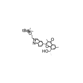 Cc1cc([C@H](C)O)c2oc(-c3ccc4nn(CCO[Si](C)(C)C(C)(C)C)cc4c3)c(C)c(=O)c2c1